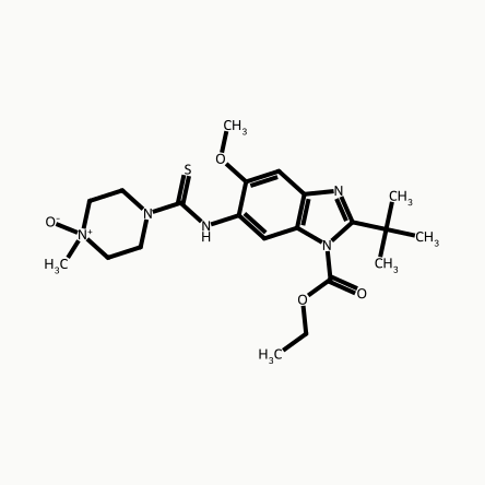 CCOC(=O)n1c(C(C)(C)C)nc2cc(OC)c(NC(=S)N3CC[N+](C)([O-])CC3)cc21